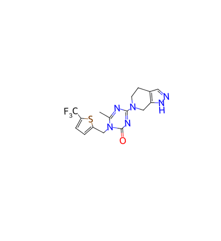 Cc1nc(N2CCc3cn[nH]c3C2)nc(=O)n1Cc1ccc(C(F)(F)F)s1